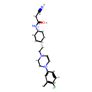 Cc1cc(N2CCN(CC[C@H]3CC[C@H](NC(=O)CC#N)CC3)CC2)ccc1F